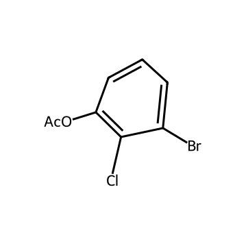 CC(=O)Oc1cccc(Br)c1Cl